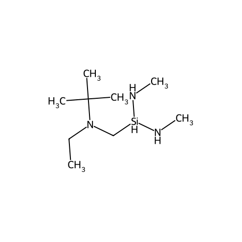 CCN(C[SiH](NC)NC)C(C)(C)C